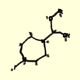 CCOC(O)N1CCN(I)CC1